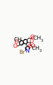 COC(=O)Cc1cc2cc(OC)c(C=O)cc2c(-c2ccnc(Br)c2)c1CC(=O)OC